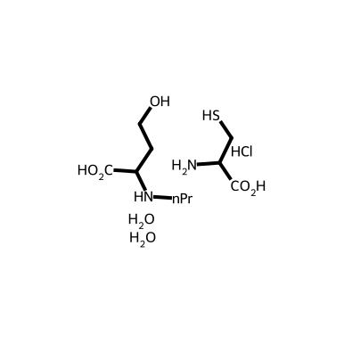 CCCNC(CCO)C(=O)O.Cl.NC(CS)C(=O)O.O.O